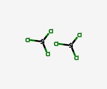 Cl[Si](Cl)Cl.Cl[Si](Cl)Cl